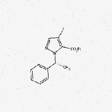 CCOC(=O)c1c(F)cnn1[C@H](C)c1ccccc1